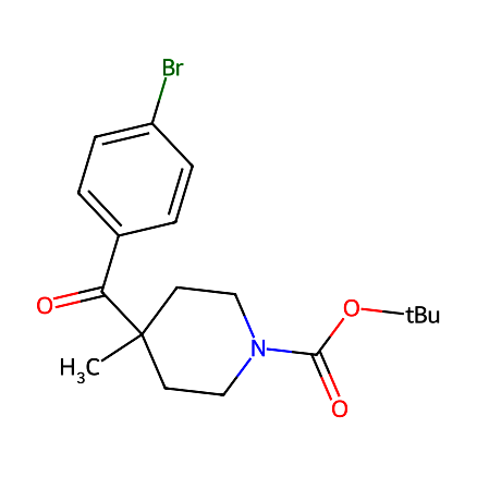 CC(C)(C)OC(=O)N1CCC(C)(C(=O)c2ccc(Br)cc2)CC1